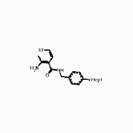 CC/C=C\C(C(=O)NCc1ccc(CCCCCCC)cc1)=C(/C)N